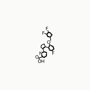 O=C(O)c1cccc(C2=C(c3cc(F)ccc3OCc3ccc(F)c(F)c3)CCC2)n1